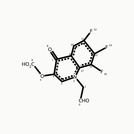 O=CCn1cc(OC(=O)O)c(=O)c2cc(F)c(F)c(F)c21